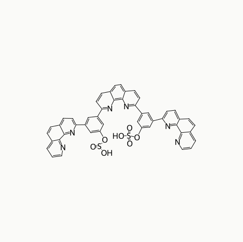 O=S(O)Oc1cc(-c2ccc3ccc4cccnc4c3n2)cc(-c2ccc3ccc4ccc(-c5cc(OS(=O)(=O)O)cc(-c6ccc7ccc8cccnc8c7n6)c5)nc4c3n2)c1